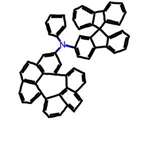 c1ccc(N(c2ccc3c(c2)C2(c4ccccc4-c4ccccc42)c2ccccc2-3)c2cc3ccc4cccc5c6cccc7ccc8cccc(c(c2)c3c45)c8c76)cc1